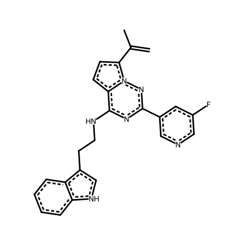 C=C(C)c1ccc2c(NCCc3c[nH]c4ccccc34)nc(-c3cncc(F)c3)nn12